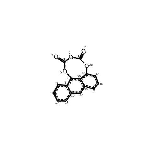 O=C1OC(=O)Oc2c3ccccc3cc3cccc(c23)O1